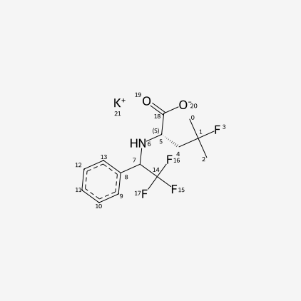 CC(C)(F)C[C@H](NC(c1ccccc1)C(F)(F)F)C(=O)[O-].[K+]